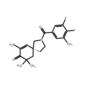 Cc1cc(C(=O)N2CC[C@]3(C=C(N)C(=O)C(C)(C)C3)C2)cc(F)c1F